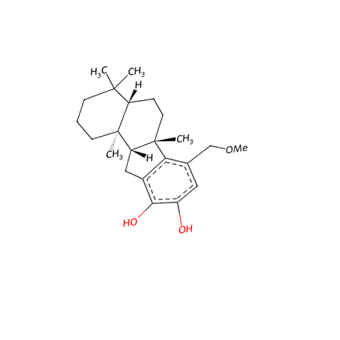 COCc1cc(O)c(O)c2c1[C@@]1(C)CC[C@H]3C(C)(C)CCC[C@]3(C)[C@H]1C2